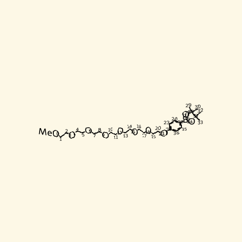 COCCOCCOCCOCCOCCOCCOCCOc1ccc(B2OC(C)(C)C(C)(C)O2)cc1